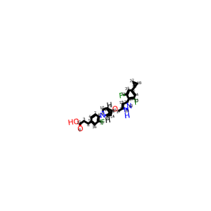 O=C(O)CCc1ccc(N2C[C@@H]3C[C@H]2C[C@H]3OCc2cc(-c3c(F)cc(C4CC4)cc3F)n[nH]2)c(F)c1